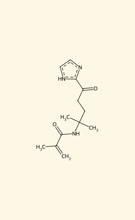 C=C(C)C(=O)NC(C)(C)CCC(=O)c1ncc[nH]1